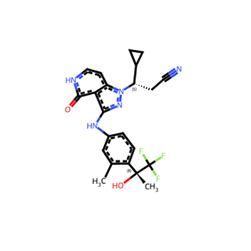 Cc1cc(Nc2nn([C@@H](CC#N)C3CC3)c3cc[nH]c(=O)c23)ccc1[C@@](C)(O)C(F)(F)F